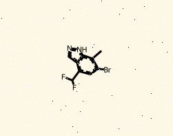 Cc1c(Br)cc(C(F)F)c2cn[nH]c12